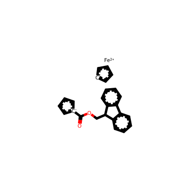 O=C(OCC1c2ccccc2-c2ccccc21)[c-]1cccc1.[Fe+2].c1cc[cH-]c1